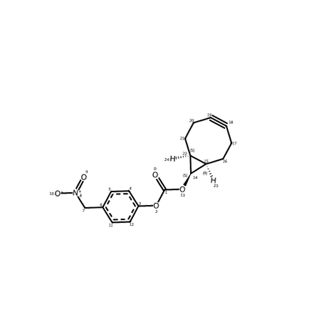 O=C(Oc1ccc(C[N+](=O)[O-])cc1)O[C@@H]1[C@@H]2CCC#CCC[C@@H]21